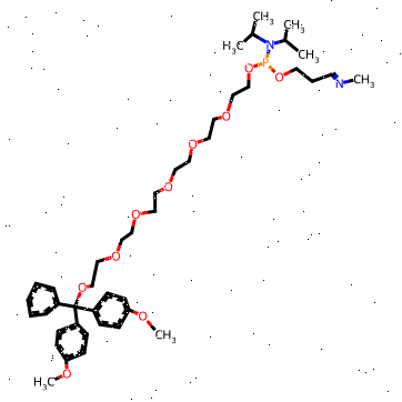 C/N=C/CCOP(OCCOCCOCCOCCOCCOCCOC(c1ccccc1)(c1ccc(OC)cc1)c1ccc(OC)cc1)N(C(C)C)C(C)C